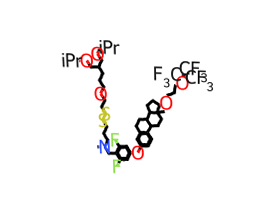 CC(C)OCC(CCCOCCSSCCCN(C)Cc1c(F)cc(Oc2ccc3c(c2)CCC2C3CCC3(C)C(OCCCOC(C(F)(F)F)(C(F)(F)F)C(F)(F)F)CCC23)cc1F)COC(C)C